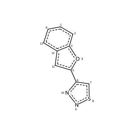 c1ccc2oc(-c3csnn3)cc2c1